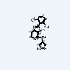 Clc1cccc(Cl)c1-c1nc2ccnc(Nc3cn[nH]c3)c2[nH]1